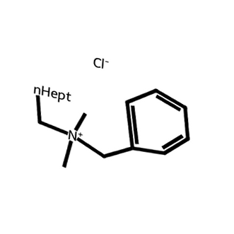 CCCCCCCC[N+](C)(C)Cc1ccccc1.[Cl-]